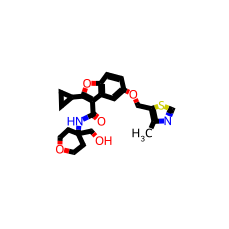 Cc1ncsc1COc1ccc2oc(C3CC3)c(C(=O)NC3(CO)CCOCC3)c2c1